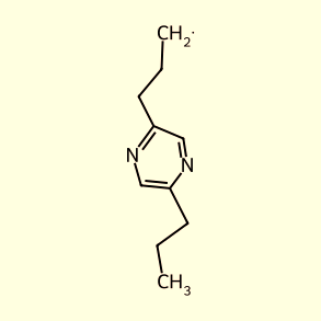 [CH2]CCc1cnc(CCC)cn1